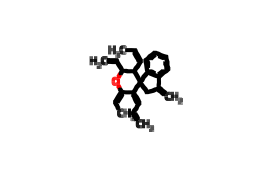 C=C/C=C1\C(=C/C)OC(C=C)C(/C=C\C)C12CC(=C)c1ccccc12